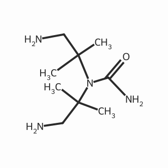 CC(C)(CN)N(C(N)=O)C(C)(C)CN